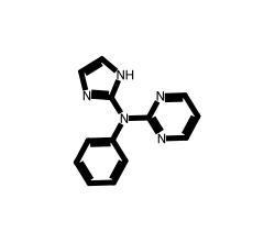 c1ccc(N(c2ncccn2)c2ncc[nH]2)cc1